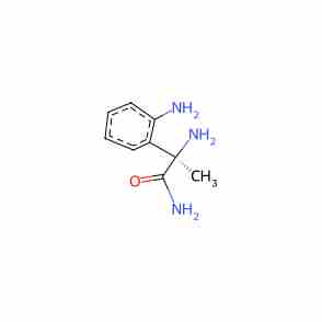 C[C@](N)(C(N)=O)c1ccccc1N